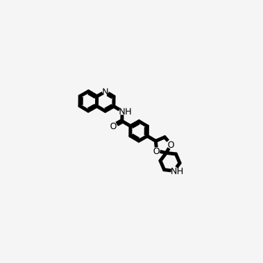 O=C(Nc1cnc2ccccc2c1)c1ccc(C2COC3(CCNCC3)O2)cc1